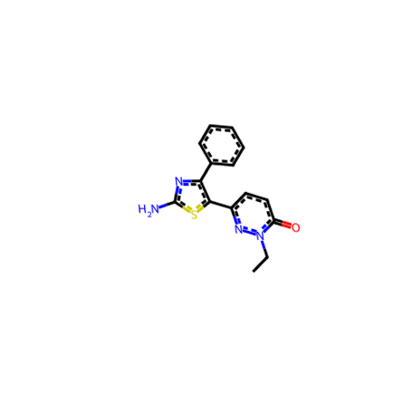 CCn1nc(-c2sc(N)nc2-c2ccccc2)ccc1=O